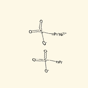 CCCS(=O)(=O)[O-].CCCS(=O)(=O)[O-].[Ni+2]